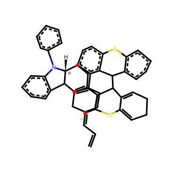 C=C/C=C\C1SC2=CCCC=C2C(C2c3ccccc3Sc3cccc(C4=CCCC=C4)c32)C1C1=CC2c3ccccc3N(c3ccccc3)[C@@H]2CC1